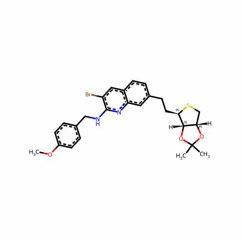 COc1ccc(CNc2nc3cc(CC[C@H]4SC[C@@H]5OC(C)(C)O[C@@H]54)ccc3cc2Br)cc1